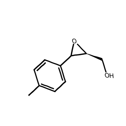 Cc1ccc(C2O[C@H]2CO)cc1